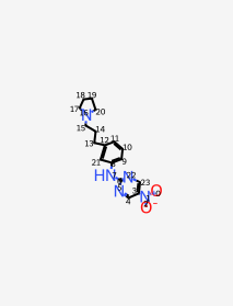 O=[N+]([O-])c1cnc(Nc2cccc(CCCN3CCCC3)c2)nc1